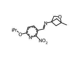 CC(C)Oc1ccc(/C=N/C23COC(C)(C2)C3)c([N+](=O)[O-])n1